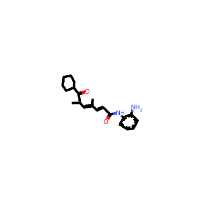 CC(/C=C/C(=O)Nc1ccccc1N)=C\C(C)C(=O)C1CCCCC1